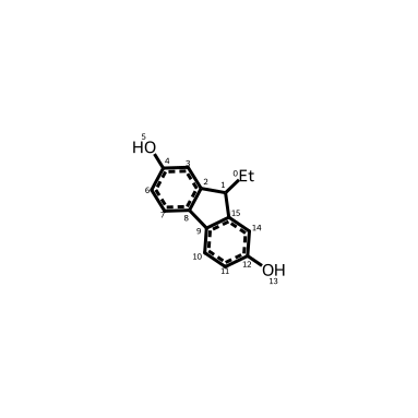 CCC1c2cc(O)ccc2-c2ccc(O)cc21